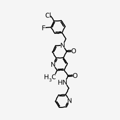 Cc1nc2ccn(Cc3ccc(Cl)c(F)c3)c(=O)c2cc1C(=O)NCc1ccccn1